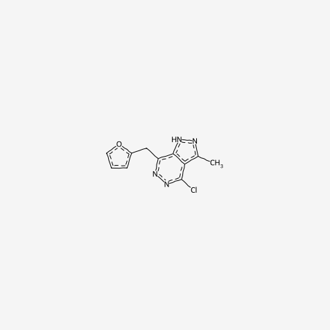 Cc1n[nH]c2c(Cc3ccco3)nnc(Cl)c12